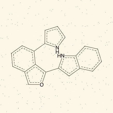 [c]1oc(-c2cc3ccccc3[nH]2)c2c(-c3ccc[nH]3)cccc12